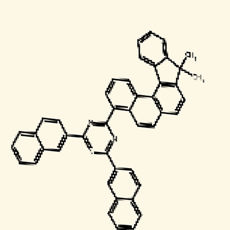 CC1(C)c2ccccc2-c2c1ccc1ccc3c(-c4nc(-c5ccc6ccccc6c5)nc(-c5ccc6ccccc6c5)n4)cccc3c21